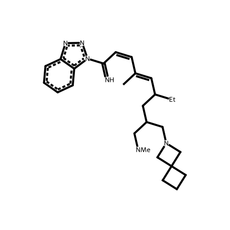 CCC(/C=C(C)/C=C\C(=N)n1nnc2ccccc21)CC(CNC)CN1CC2(CCC2)C1